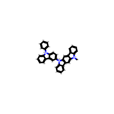 Cn1c2ccccc2c2cc3c(cc21)c1ccccc1n3-c1ccc2c(c1)c1ccccc1n2-c1ccccc1